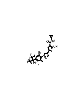 Cc1cc(C(P)(C(C)(C)I)C(F)(P)I)cc(Br)c1-n1cc(-c2cc(C(=O)NC3CC3)c(C#N)s2)cn1